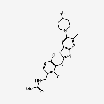 Cc1cc2nc(Nc3c(Cl)ccc(CNC(=O)C(C)(C)C)c3Cl)[nH]c2cc1N1CCC(C(F)(F)F)CC1